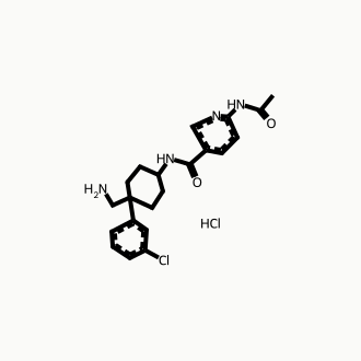 CC(=O)Nc1ccc(C(=O)NC2CCC(CN)(c3cccc(Cl)c3)CC2)cn1.Cl